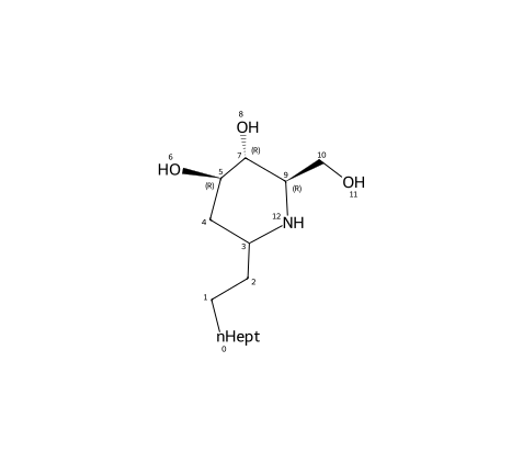 CCCCCCCCCC1C[C@@H](O)[C@H](O)[C@@H](CO)N1